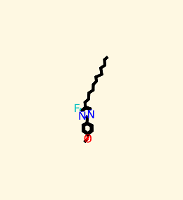 CCCCCCCCCCCCc1cnc(-c2ccc(OC)cc2)nc1F